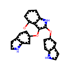 [O]c1cccc2[nH]c(Oc3ccc4[nH]ccc4c3)c(Oc3ccc4cc[nH]c4c3)c12